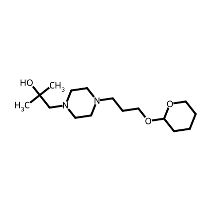 CC(C)(O)CN1CCN(CCCOC2CCCCO2)CC1